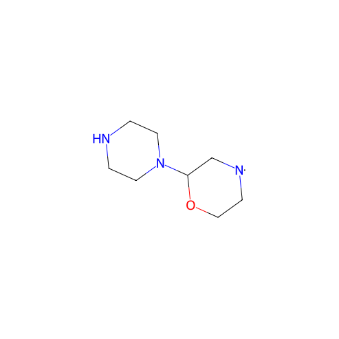 C1COC(N2CCNCC2)C[N]1